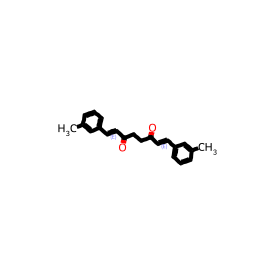 Cc1cccc(/C=C/C(=O)CCC(=O)/C=C/c2cccc(C)c2)c1